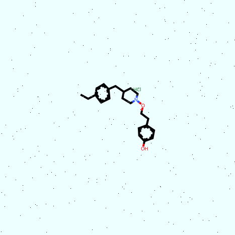 CCc1ccc(CC2CCN(OCCc3ccc(O)cc3)CC2)cc1.Cl